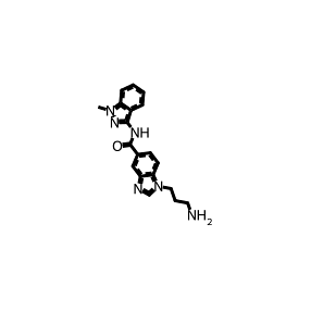 Cn1nc(NC(=O)c2ccc3c(c2)ncn3CCCN)c2ccccc21